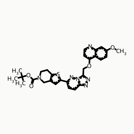 COc1ccc2c(OCc3nnc4ccc(-c5cc6c(s5)CCN(C(=O)OC(C)(C)C)C6)nn34)ccnc2c1